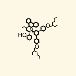 CCCCC(CC)COc1ccc(-c2cc(-c3ccc(OCC(CC)CCCC)cc3)cc(N3C(c4ccccc4O)=CC(CC)c4c3c3ccccc3c3ccccc43)c2)cc1